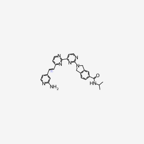 CC(C)NC(=O)c1ccc2c(c1)CN(c1nccc(-c3nccc(/C=C/c4ccnc(N)c4)n3)n1)C2